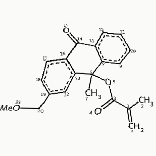 C=C(C)C(=O)OC1(C)c2ccccc2C(=O)c2ccc(COC)cc21